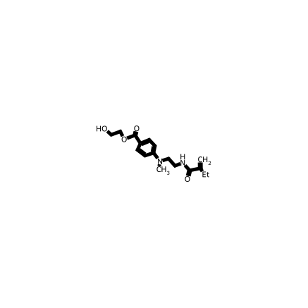 C=C(CC)C(=O)NCCN(C)c1ccc(C(=O)OCCO)cc1